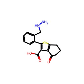 NNCc1ccccc1-c1sc2c(c1C(=O)O)C(=O)CCC2